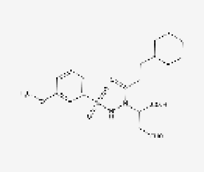 O=CCC(C(=O)O)N(NS(=O)(=O)c1cccc(OC(F)(F)F)c1)C(=O)CCC1CCCCC1